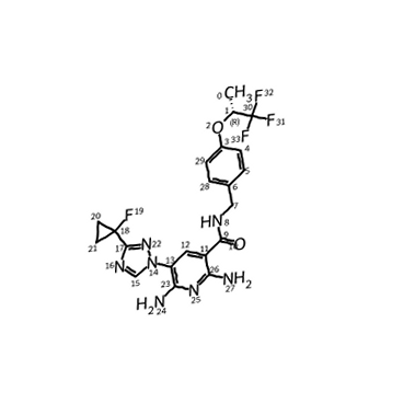 C[C@@H](Oc1ccc(CNC(=O)c2cc(-n3cnc(C4(F)CC4)n3)c(N)nc2N)cc1)C(F)(F)F